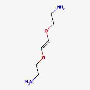 NCCOC=COCCN